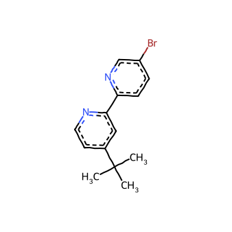 CC(C)(C)c1ccnc(-c2ccc(Br)cn2)c1